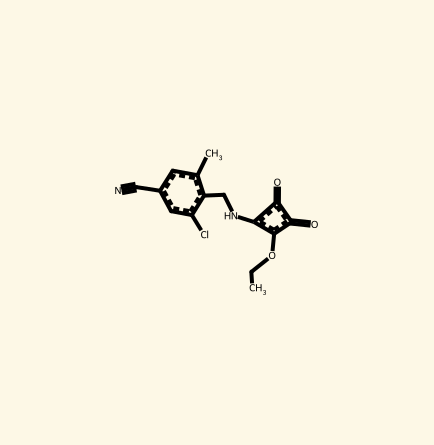 CCOc1c(NCc2c(C)cc(C#N)cc2Cl)c(=O)c1=O